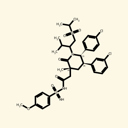 COc1ccc(S(=N)(=O)NC(=O)C[C@@]2(C)C[C@H](c3cccc(Cl)c3)[C@@H](c3ccc(Cl)cc3)N(C(CS(=O)(=O)C(C)C)C(C)C)C2=O)cc1